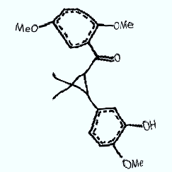 COc1ccc(OC)c(C(=O)C2C(c3ccc(OC)c(O)c3)C2(C)C)c1